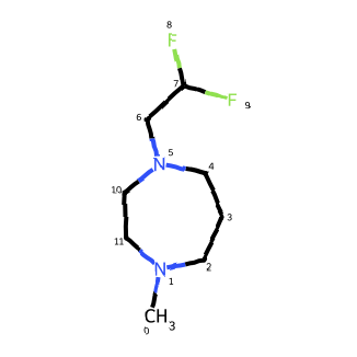 CN1CCCN(CC(F)F)CC1